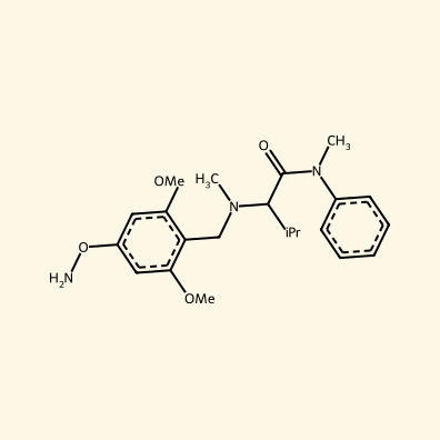 COc1cc(ON)cc(OC)c1CN(C)C(C(=O)N(C)c1ccccc1)C(C)C